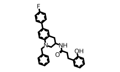 O=C(CCc1ccccc1O)NC1Cc2cc(-c3ccc(F)cc3)ccc2N(Cc2ccccc2)C1